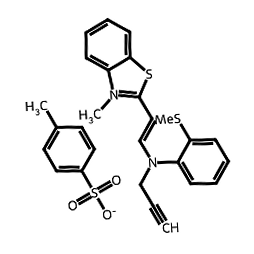 C#CCN(/C=C/c1sc2ccccc2[n+]1C)c1ccccc1SC.Cc1ccc(S(=O)(=O)[O-])cc1